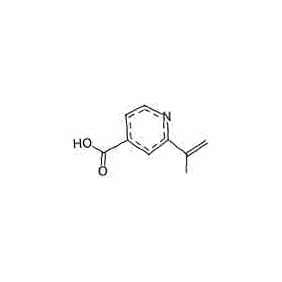 C=C(C)c1cc(C(=O)O)ccn1